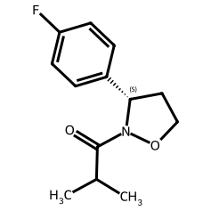 CC(C)C(=O)N1OCC[C@H]1c1ccc(F)cc1